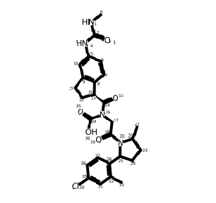 CNC(=O)Nc1ccc2c(c1)CC[C@@H]2C(=O)N(CC(=O)N1C(C)CCC1c1ccc(Cl)cc1C)C(=O)O